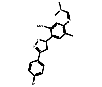 COc1cc(/N=C\N(C)C)c(C)cc1C1CC(c2ccc(Br)cc2)=NO1